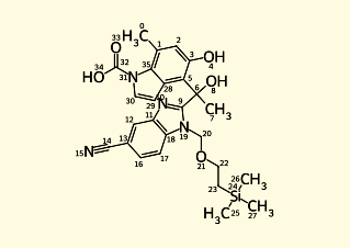 Cc1cc(O)c(C(C)(O)c2nc3cc(C#N)ccc3n2COCC[Si](C)(C)C)c2ccn(C(=O)O)c12